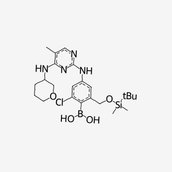 Cc1cnc(Nc2cc(Cl)c(B(O)O)c(CO[Si](C)(C)C(C)(C)C)c2)nc1NC1CCCOC1